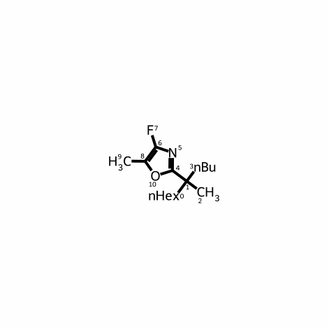 CCCCCCC(C)(CCCC)c1nc(F)c(C)o1